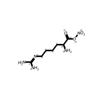 NC(N)=NCCCCC(N)C(=O)O[N+](=O)[O-]